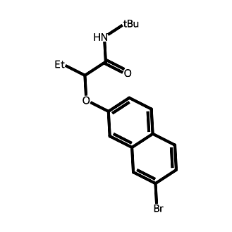 CCC(Oc1ccc2ccc(Br)cc2c1)C(=O)NC(C)(C)C